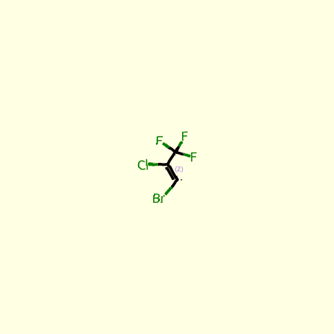 FC(F)(F)/C(Cl)=[C]/Br